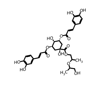 CC(CO)OC(C)COC(=O)[C@]1(O)C[C@@H](OC(=O)/C=C/c2ccc(O)c(O)c2)[C@@H](O)[C@H](OC(=O)/C=C/c2ccc(O)c(O)c2)C1